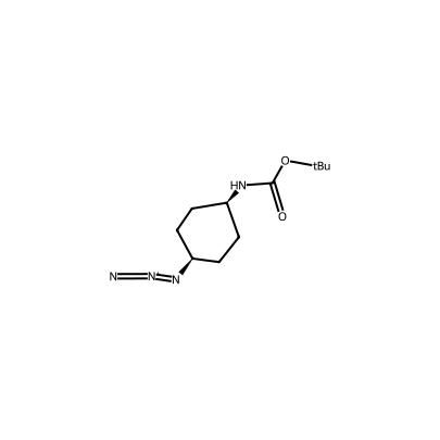 CC(C)(C)OC(=O)N[C@H]1CC[C@@H](N=[N+]=[N-])CC1